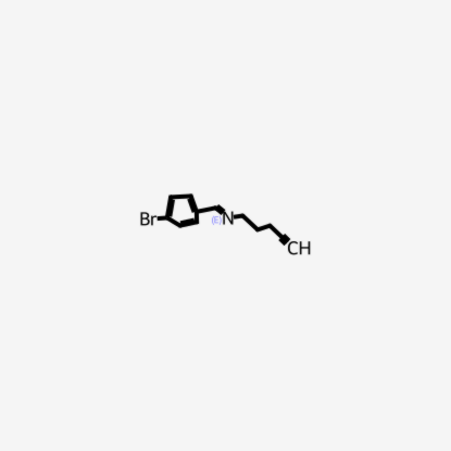 C#CCCC/N=C/c1ccc(Br)cc1